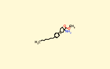 CCCCCCCc1ccc([C@H]2CC[C@](N)(C(=O)OC)C2)cc1